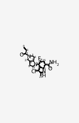 C=CC(=O)N1CCC2C(CCN2c2c(F)cc(C(N)=O)c3[nH]c(C)c(Cl)c23)C1